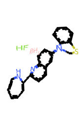 B.C1=CC=C(c2ccc3cc(N4CSc5ccccc54)ccc3n2)NC=C1.F